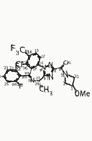 COC1CN(C(=O)c2nc3n(n2)-c2ccc(C(F)(F)F)c(Cl)c2C(c2c(F)cccc2F)=N[C@H]3C)C1